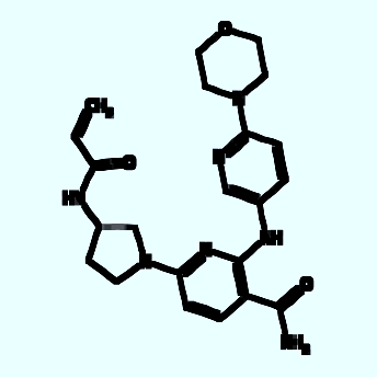 C=CC(=O)NC1CCN(c2ccc(C(N)=O)c(Nc3ccc(N4CCOCC4)nc3)n2)C1